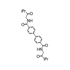 CC(C)C(=O)CNC(=O)c1ccc(-c2ccc(C(=O)NCC(=O)C(C)C)cc2)cc1